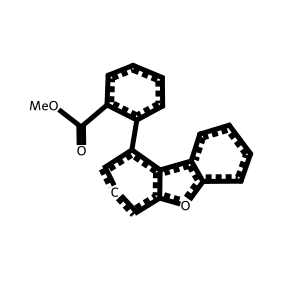 COC(=O)c1ccccc1-c1cccc2oc3ccccc3c12